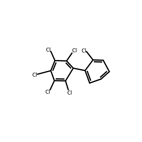 Clc1ccccc1-c1c(Cl)c(Cl)c(Cl)c(Cl)c1Cl